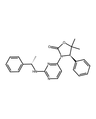 C[C@H](Nc1nccc(N2C(=O)OC(C)(C)[C@H]2c2ccccc2)n1)c1ccccc1